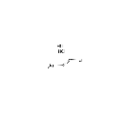 Cl.Cl.ClC=C[AsH2]